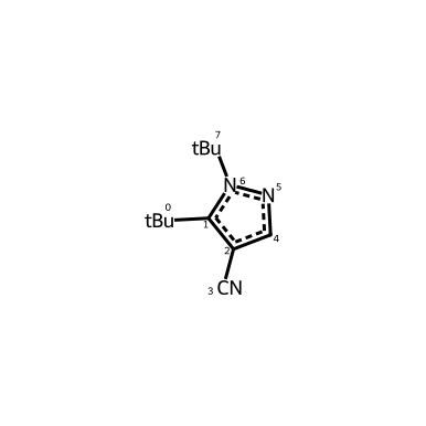 CC(C)(C)c1c(C#N)cnn1C(C)(C)C